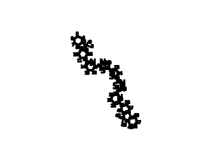 CC1(C)c2ccccc2-c2ccc(-c3cccc(-c4nnc(-c5ccc(-c6nnc(-c7cccc(-c8ccc9c(c8)C(C)(C)c8ccccc8-9)n7)s6)s5)s4)n3)cc21